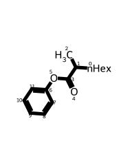 CCCCCCC(C)C(=O)Oc1[c]cccc1